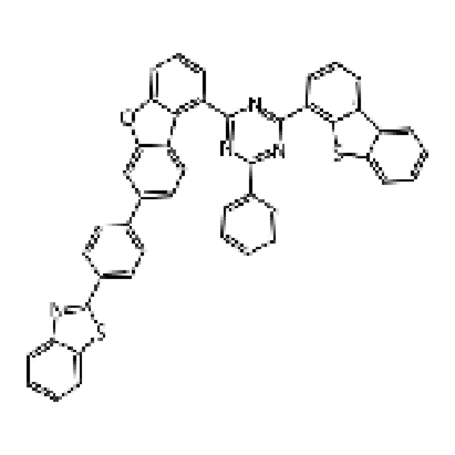 c1ccc(-c2nc(-c3cccc4c3sc3ccccc34)nc(-c3cccc4oc5cc(-c6ccc(-c7nc8ccccc8s7)cc6)ccc5c34)n2)cc1